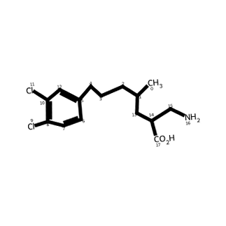 CC(CCCc1ccc(Cl)c(Cl)c1)CC(CN)C(=O)O